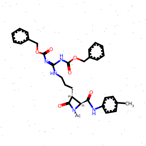 CC(=O)N1C(=O)[C@H](CCCNC(=NC(=O)OCc2ccccc2)NC(=O)OCc2ccccc2)[C@H]1C(=O)Nc1ccc(C)cc1